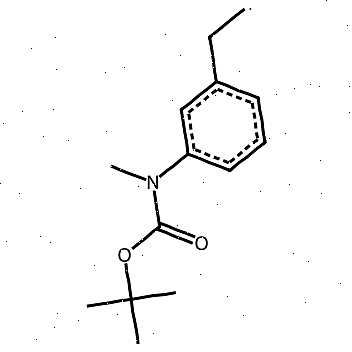 [CH2]Cc1cccc(N(C)C(=O)OC(C)(C)C)c1